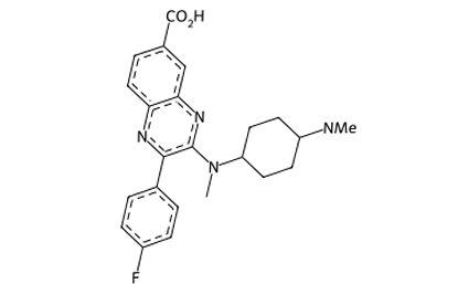 CNC1CCC(N(C)c2nc3cc(C(=O)O)ccc3nc2-c2ccc(F)cc2)CC1